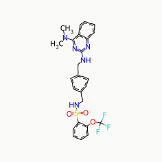 CN(C)c1nc(NCc2ccc(CNS(=O)(=O)c3ccccc3OC(F)(F)F)cc2)nc2ccccc12